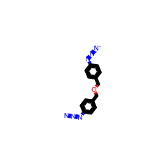 [N-]=[N+]=Nc1ccc(COCc2ccc(N=[N+]=[N-])cc2)cc1